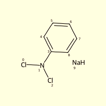 ClN(Cl)c1ccccc1.[NaH]